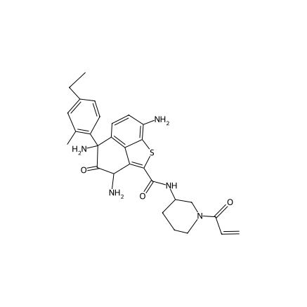 C=CC(=O)N1CCCC(NC(=O)c2sc3c(N)ccc4c3c2C(N)C(=O)C4(N)c2ccc(CC)cc2C)C1